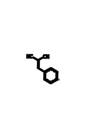 N#CC(C#N)=Cc1cc[c]cc1